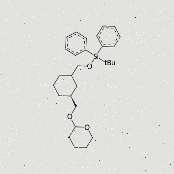 CC(C)(C)[Si](OCC1CCC[C@H](COC2CCCCO2)C1)(c1ccccc1)c1ccccc1